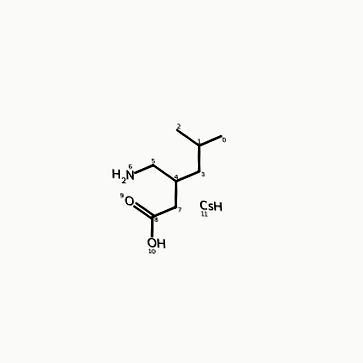 CC(C)CC(CN)CC(=O)O.[CsH]